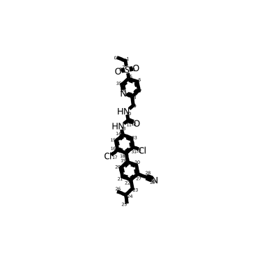 CCS(=O)(=O)c1ccc(CNC(=O)Nc2cc(Cl)c(-c3ccc(CC(C)C)c(C#N)c3)c(Cl)c2)nc1